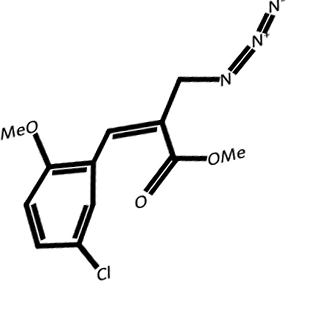 COC(=O)C(=Cc1cc(Cl)ccc1OC)CN=[N+]=[N-]